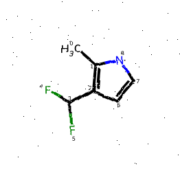 CC1=C(C(F)F)C=[C][N]1